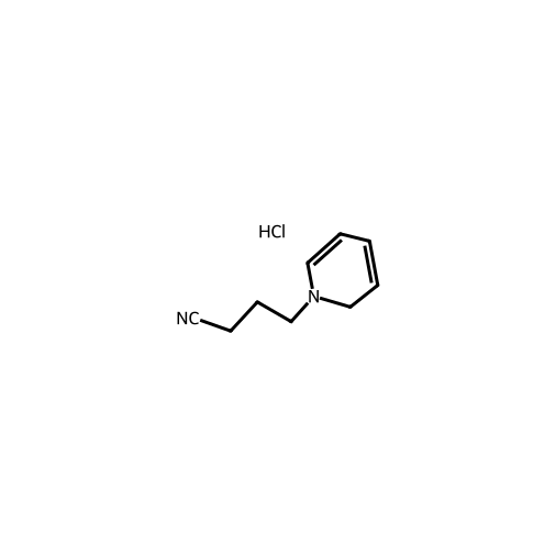 Cl.N#CCCCN1C=CC=CC1